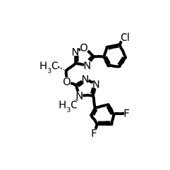 C[C@@H](Oc1nnc(-c2cc(F)cc(F)c2)n1C)c1noc(-c2cccc(Cl)c2)n1